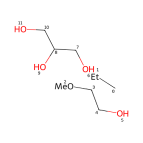 CCC.COCCO.OCC(O)CO